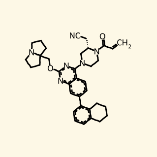 C=CC(=O)N1CCN(c2nc(OCC34CCCN3CCC4)nc3cc(-c4cccc5c4CCCC5)ccc23)C[C@@H]1CC#N